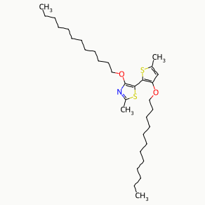 CCCCCCCCCCCCOc1cc(C)sc1-c1sc(C)nc1OCCCCCCCCCCCC